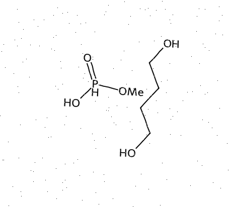 CO[PH](=O)O.OCCCCO